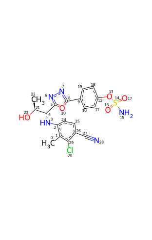 Cc1c(N[C@@H](c2nnc(-c3ccc(OS(N)(=O)=O)cc3)o2)[C@H](C)O)ccc(C#N)c1Cl